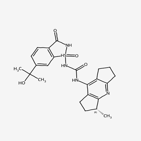 C[C@@H]1CCc2c1nc1c(c2NC(=O)N[SH]2(=O)NC(=O)c3ccc(C(C)(C)O)cc32)CCC1